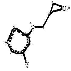 Brc1cncc(OCC2CO2)c1